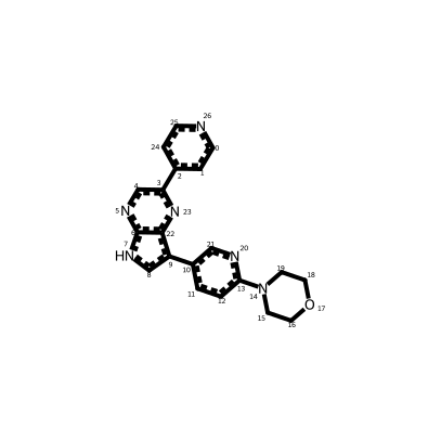 c1cc(-c2cnc3[nH]cc(-c4ccc(N5CCOCC5)nc4)c3n2)ccn1